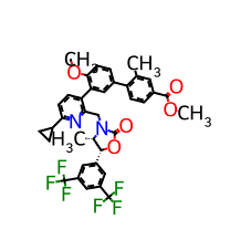 COC(=O)c1ccc(-c2ccc(OC)c(-c3ccc(C4CC4)nc3CN3C(=O)O[C@H](c4cc(C(F)(F)F)cc(C(F)(F)F)c4)[C@@H]3C)c2)c(C)c1